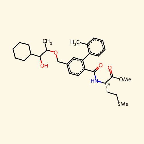 COC(=O)[C@H](CCSC)NC(=O)c1ccc(COC(C)C(O)C2CCCCC2)cc1-c1ccccc1C